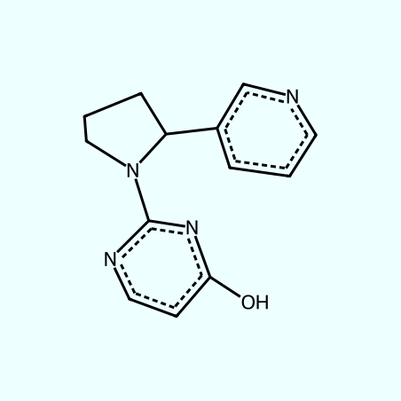 Oc1ccnc(N2CCCC2c2cccnc2)n1